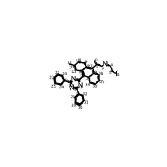 C/C(=C\N=C/CI)C1=C2C=CC(C)CC2=C(c2nc(-c3ccccc3)nc(-c3ccccc3)n2)C2C=CC=CC12